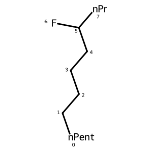 CCCCCCCCCC(F)CCC